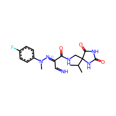 CC(C)C1(CNC(=O)/C(C=N)=N/N(C)c2ccc(F)cc2)NC(=O)NC1=O